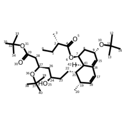 CC[C@H](C)C(=O)O[C@H]1C[C@H](OC(C)(C)C)C=C2C=C[C@H](C)[C@H](CC[C@@H](O)C[C@H](CC(=O)OC(C)(C)C)OC(C)(C)C)[C@H]21